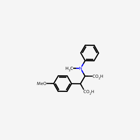 COc1ccc(C(C(=O)O)C(C(=O)O)N(C)c2ccccc2)cc1